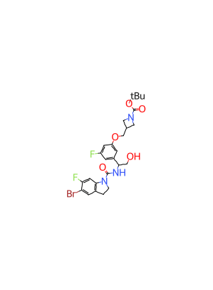 CC(C)(C)OC(=O)N1CC(COc2cc(F)cc(C(CO)NC(=O)N3CCc4cc(Br)c(F)cc43)c2)C1